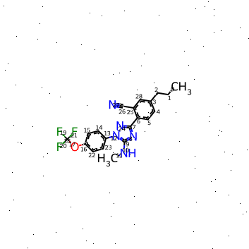 CCCc1ccc(-c2nc(NC)n(-c3ccc(OC(F)(F)F)cc3)n2)c(C#N)c1